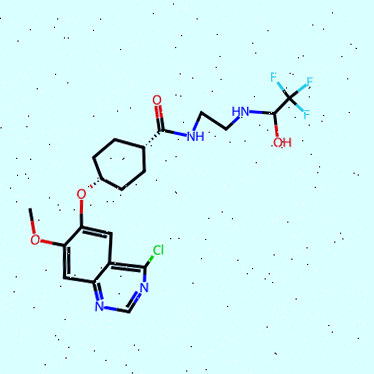 COc1cc2ncnc(Cl)c2cc1O[C@H]1CC[C@@H](C(=O)NCCNC(O)C(F)(F)F)CC1